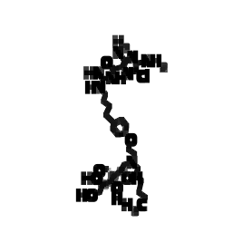 CCCCCCN(CCOc1ccc(CCCCNC(=N)NC(=O)c2nc(Cl)c(N)nc2N)cc1)C[C@H](O)[C@@H](C=O)[C@H](O)[C@H](O)CO